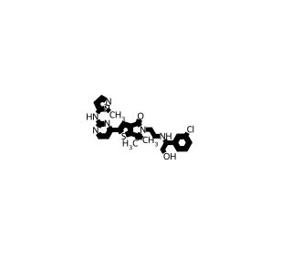 Cn1nccc1Nc1nccc(-c2cc3c(s2)C(C)(C)N(CCNC(CO)c2cccc(Cl)c2)C3=O)n1